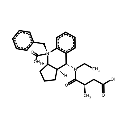 CCN(C(=O)[C@H](C)CC(=O)O)[C@H]1c2ccccc2[N@@+](Cc2ccccc2)(C(=O)O)[C@@H]2CCC[C@@H]21